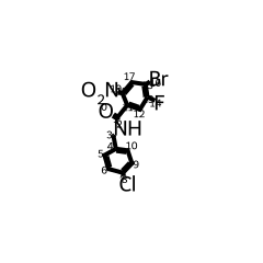 O=C(NCc1ccc(Cl)cc1)c1cc(F)c(Br)cc1[N+](=O)[O-]